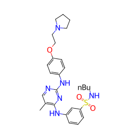 CCCCNS(=O)(=O)c1cccc(Nc2nc(Nc3ccc(OCCN4CCCC4)cc3)ncc2C)c1